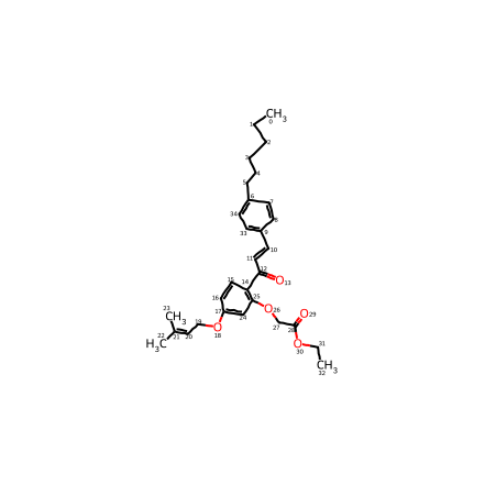 CCCCCCc1ccc(C=CC(=O)c2ccc(OCC=C(C)C)cc2OCC(=O)OCC)cc1